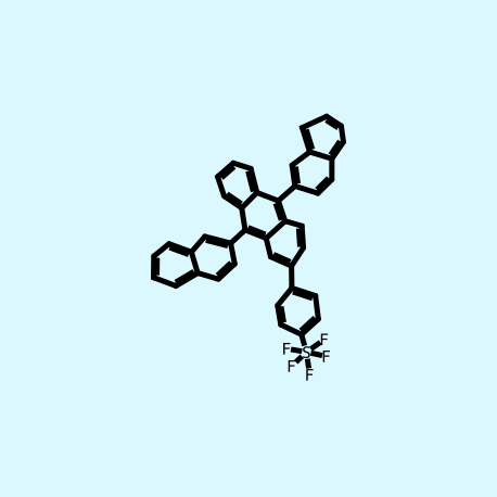 FS(F)(F)(F)(F)c1ccc(-c2ccc3c(-c4ccc5ccccc5c4)c4ccccc4c(-c4ccc5ccccc5c4)c3c2)cc1